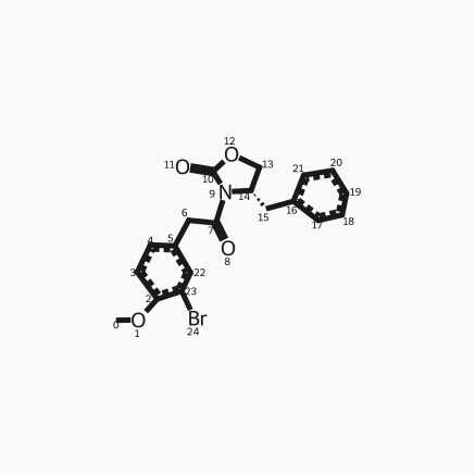 COc1ccc(CC(=O)N2C(=O)OC[C@@H]2Cc2ccccc2)cc1Br